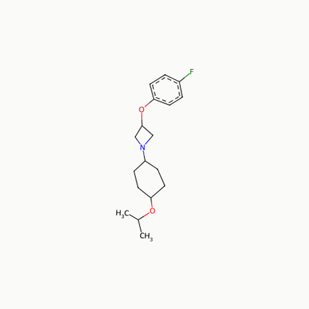 CC(C)OC1CCC(N2CC(Oc3ccc(F)cc3)C2)CC1